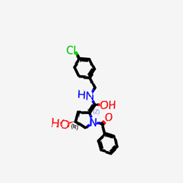 O=C(c1ccccc1)N1C[C@H](O)C/C1=C(/O)NCC1=CC=C(Cl)CC1